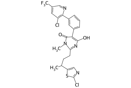 CC(CCc1nc(O)c(-c2cccc(-c3ncc(C(F)(F)F)cc3Cl)c2)c(=O)n1C)c1cnc(Cl)s1